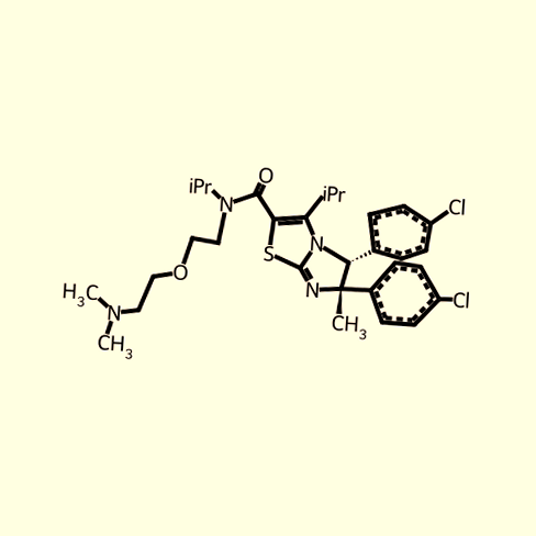 CC(C)C1=C(C(=O)N(CCOCCN(C)C)C(C)C)SC2=N[C@@](C)(c3ccc(Cl)cc3)[C@@H](c3ccc(Cl)cc3)N21